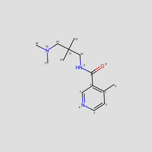 Cc1ccncc1C(=O)NCC(C)(C)CN(C)C